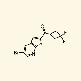 O=C(c1cc2cc(Br)cnc2s1)C1CC(F)(F)C1